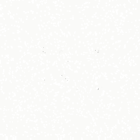 CCCc1c(N)c(C(N)=O)n(C)c1C